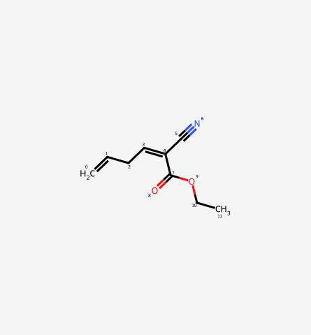 C=CCC=C(C#N)C(=O)OCC